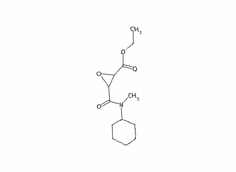 CCOC(=O)C1OC1C(=O)N(C)C1CCCCC1